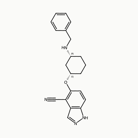 N#Cc1c(O[C@H]2CCC[C@@H](NCc3ccccc3)C2)ccc2[nH]ncc12